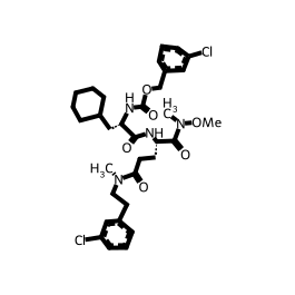 CON(C)C(=O)[C@H](CCC(=O)N(C)CCc1cccc(Cl)c1)NC(=O)[C@H](CC1CCCCC1)NC(=O)OCc1cccc(Cl)c1